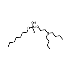 CCCCCCCOP(=O)(O)OCCN(CCCC)CCCC